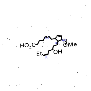 CC/C=C\CC(O)C/C=C1/C(=N\OC)C=CC1C/C=C\CCCC(=O)O